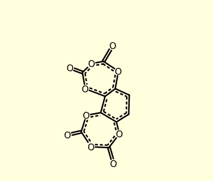 O=c1oc(=O)oc2c(ccc3oc(=O)oc(=O)oc32)o1